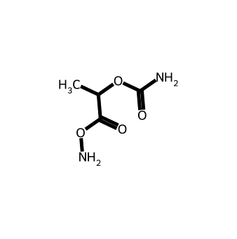 CC(OC(N)=O)C(=O)ON